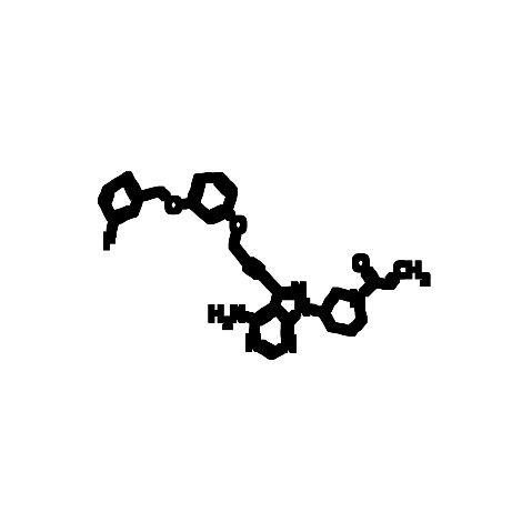 C=CC(=O)N1CCCC(n2nc(C#CCOc3cccc(OCc4cccc(F)c4)c3)c3c(N)ncnc32)C1